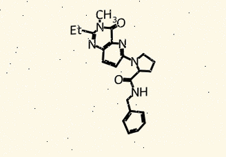 CCc1nc2ccc(N3CCCC3C(=O)NCc3ccccc3)nc2c(=O)n1C